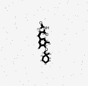 Cc1cc(C=C2SC(=O)NC2=O)cc(C)c1OCC1(C)CCCCC1